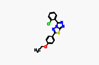 CCOc1ccc(-c2nn3c(-c4ccccc4Cl)nnc3s2)cc1